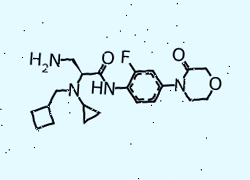 NC[C@@H](C(=O)Nc1ccc(N2CCOCC2=O)cc1F)N(CC1CCC1)C1CC1